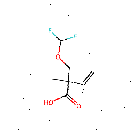 C=CC(C)(COC(F)F)C(=O)O